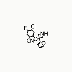 N#Cc1cc(F)c(Cl)cc1OC1(c2ccco2)CNC1